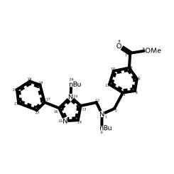 CCCCN(Cc1ccc(C(=O)OC)cc1)Cc1cnc(-c2ccccc2)n1CCCC